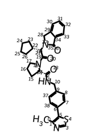 Cc1ncsc1-c1ccc(CNC(=O)[C@@H]2CCCN2C(=O)[C@H](C2CCCC2)N2Cc3ccccc3C2=O)cc1